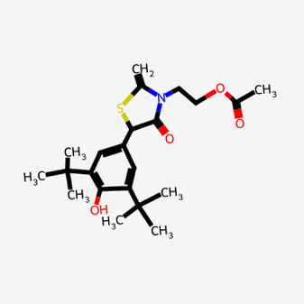 C=C1SC(c2cc(C(C)(C)C)c(O)c(C(C)(C)C)c2)C(=O)N1CCOC(C)=O